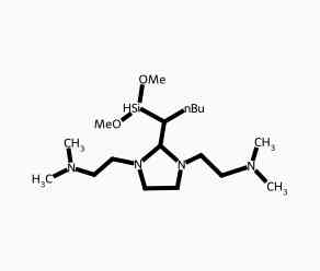 CCCCC(C1N(CCN(C)C)CCN1CCN(C)C)[SiH](OC)OC